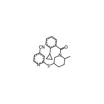 CC1CCC(Sc2cc(C#N)ccn2)CN1C(=O)c1ccccc1C1CC1